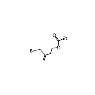 C=C(CBr)CCOC(=O)CC